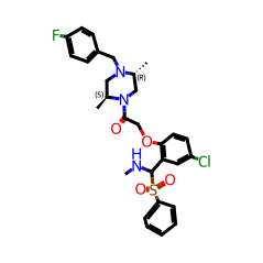 CNC(c1cc(Cl)ccc1OCC(=O)N1C[C@@H](C)N(Cc2ccc(F)cc2)C[C@@H]1C)S(=O)(=O)c1ccccc1